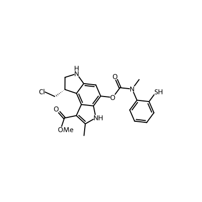 COC(=O)c1c(C)[nH]c2c(OC(=O)N(C)c3ccccc3S)cc3c(c12)[C@H](CCl)CN3